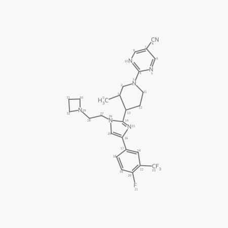 CC1CN(c2ncc(C#N)cn2)CCC1c1nc(-c2ccc(F)c(C(F)(F)F)c2)cn1CCN1CCC1